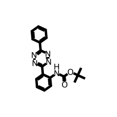 CC(C)(C)OC(=O)Nc1ccccc1-c1nnc(-c2ccccc2)nn1